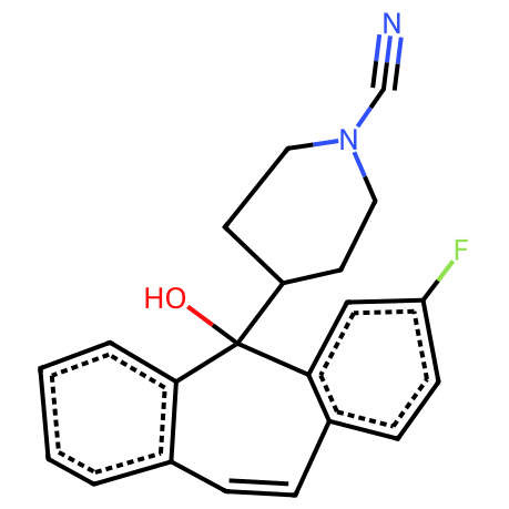 N#CN1CCC(C2(O)c3ccccc3C=Cc3ccc(F)cc32)CC1